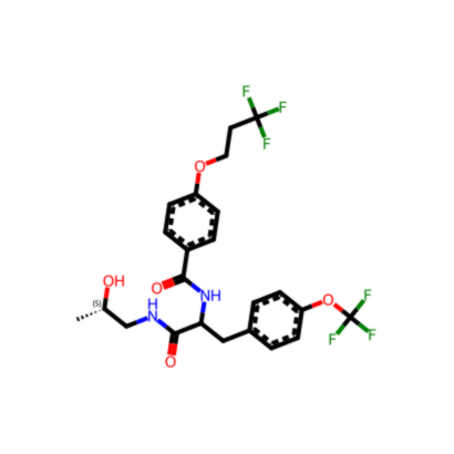 C[C@H](O)CNC(=O)C(Cc1ccc(OC(F)(F)F)cc1)NC(=O)c1ccc(OCCC(F)(F)F)cc1